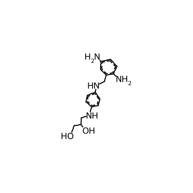 Nc1ccc(N)c(CNc2ccc(NCC(O)CO)cc2)c1